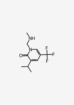 CNCn1cc(C(F)(F)F)cc(C(C)C)c1=O